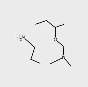 CCC(C)OCN(C)C.CCCN